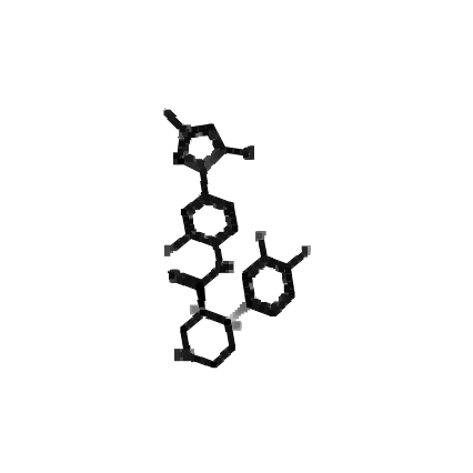 Cn1cc(Cl)c(-c2ccc(NC(=O)[C@@H]3CNCC[C@H]3c3ccc(F)c(F)c3)c(F)c2)n1